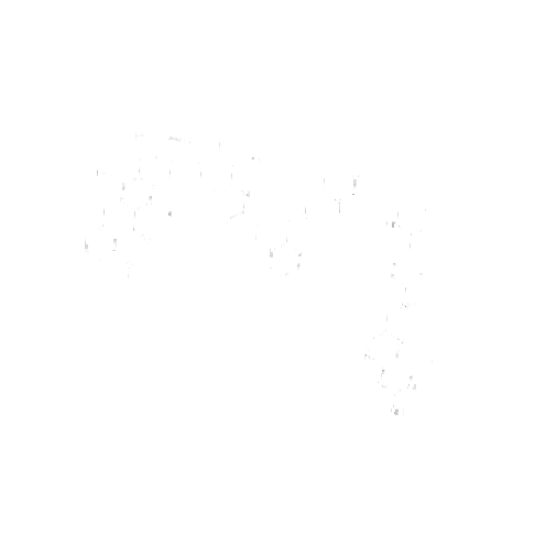 COc1cccc2c1C(=O)c1c(O)c3c(c(O)c1C2=O)C[C@@](O)(C(C)=O)CC3OC1CC(NC(=O)OCc2ccccc2SSCC(C)NC(=O)CCC(C=O)NC(=O)c2ccc(NCc3cnc4nc(N)[nH]c(=O)c4n3)cc2)C(O)C(C)O1